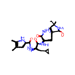 Cc1cc(C(=O)NC(CC2CC2)C(=O)NC(CC2CC(C)(C)NC2=O)C(N)=O)[nH]c1C